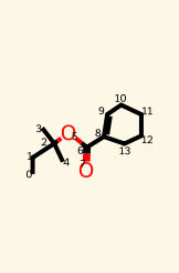 CCC(C)(C)OC(=O)C1=CCCCC1